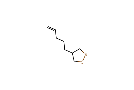 C=CCCCC1CSSC1